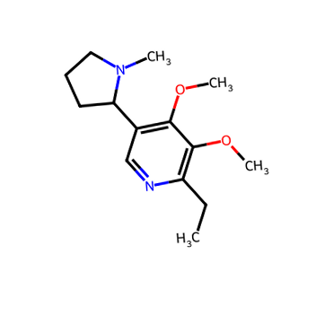 CCc1ncc(C2CCCN2C)c(OC)c1OC